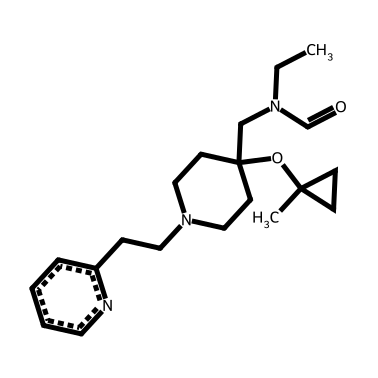 CCN(C=O)CC1(OC2(C)CC2)CCN(CCc2ccccn2)CC1